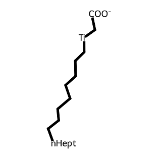 CCCCCCCCCCCCCC[CH2][Ti][CH2]C(=O)[O-]